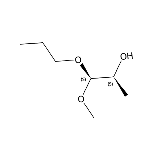 CCCO[C@H](OC)[C@H](C)O